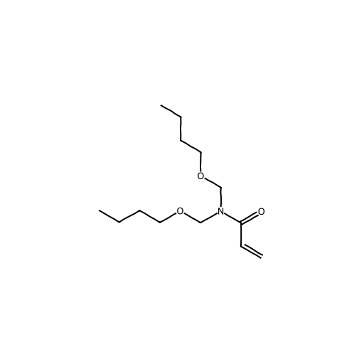 C=CC(=O)N(COCCCC)COCCCC